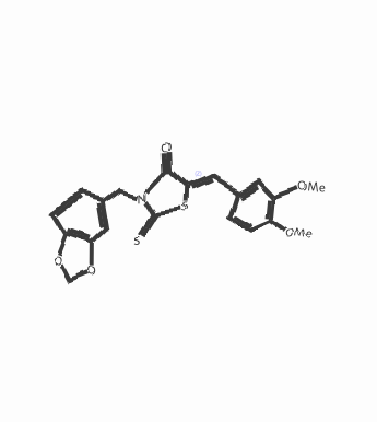 COc1ccc(/C=C2\SC(=S)N(Cc3ccc4c(c3)OCO4)C2=O)cc1OC